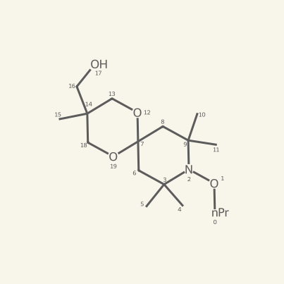 CCCON1C(C)(C)CC2(CC1(C)C)OCC(C)(CO)CO2